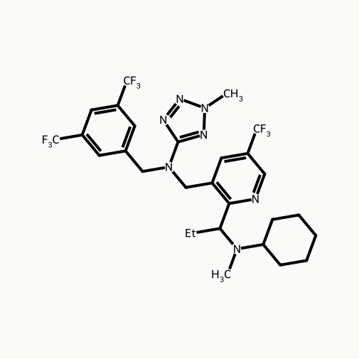 CCC(c1ncc(C(F)(F)F)cc1CN(Cc1cc(C(F)(F)F)cc(C(F)(F)F)c1)c1nnn(C)n1)N(C)C1CCCCC1